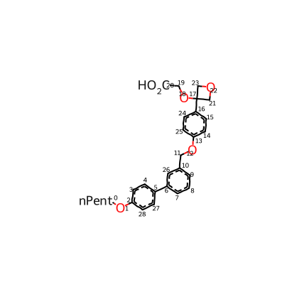 CCCCCOc1ccc(-c2cccc(COc3ccc(C4(OCC(=O)O)COC4)cc3)c2)cc1